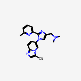 Cc1cccc(-c2nc(CN(C)C)cn2-c2ccc3ncc(C#N)n3c2)n1